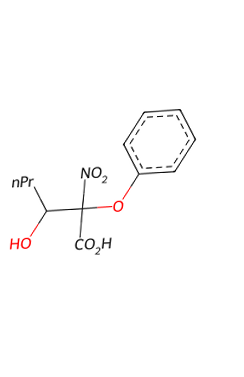 CCCC(O)C(Oc1ccccc1)(C(=O)O)[N+](=O)[O-]